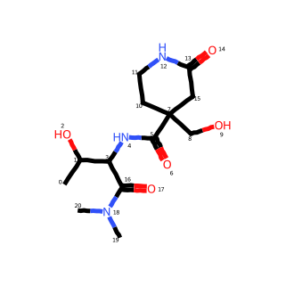 CC(O)C(NC(=O)C1(CO)CCNC(=O)C1)C(=O)N(C)C